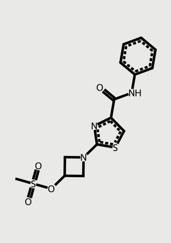 CS(=O)(=O)OC1CN(c2nc(C(=O)Nc3ccccc3)cs2)C1